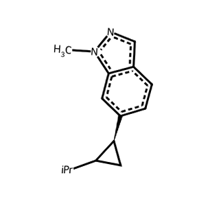 CC(C)C1C[C@@H]1c1ccc2cnn(C)c2c1